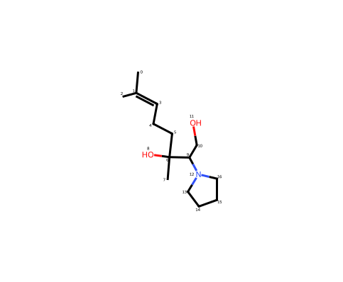 CC(C)=CCCC(C)(O)C(CO)N1CCCC1